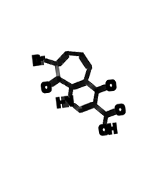 O=C(O)c1c[nH]c2c(=O)c(Br)cccc2c1=O